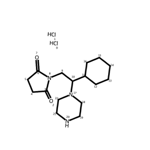 Cl.Cl.O=C1CCC(=O)N1CC(C1CCCCC1)N1CCNCC1